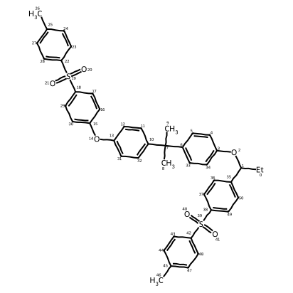 CCC(Oc1ccc(C(C)(C)c2ccc(Oc3ccc(S(=O)(=O)c4ccc(C)cc4)cc3)cc2)cc1)c1ccc(S(=O)(=O)c2ccc(C)cc2)cc1